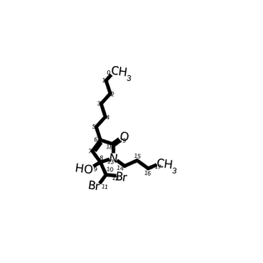 CCCCCCC1=CC(O)(C(Br)Br)N(CCCC)C1=O